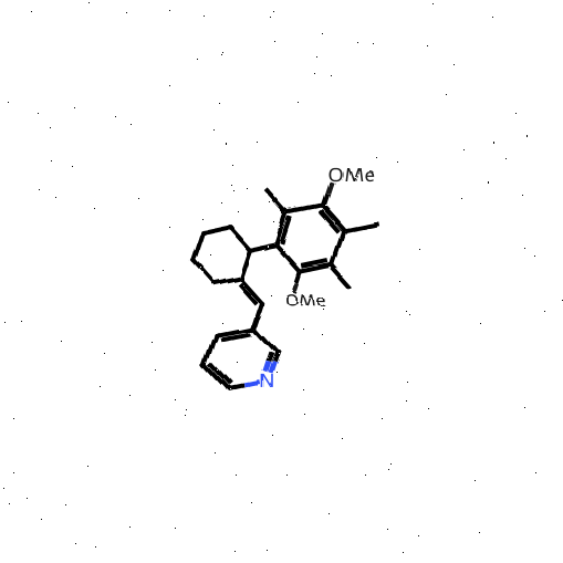 COc1c(C)c(C)c(OC)c(C2CCCCC2=Cc2cccnc2)c1C